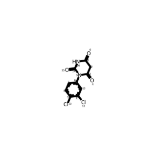 O=C1CC(=O)N(c2ccc(Cl)c(Cl)c2)C(=O)N1